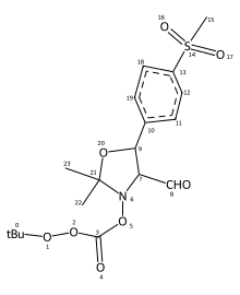 CC(C)(C)OOC(=O)ON1C(C=O)C(c2ccc(S(C)(=O)=O)cc2)OC1(C)C